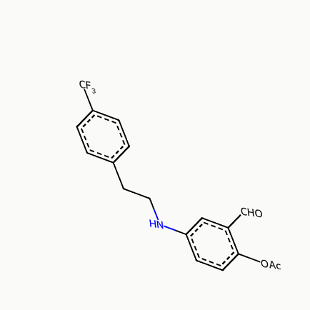 CC(=O)Oc1ccc(NCCc2ccc(C(F)(F)F)cc2)cc1C=O